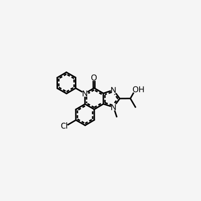 CC(O)c1nc2c(=O)n(-c3ccccc3)c3cc(Cl)ccc3c2n1C